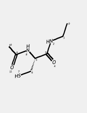 CCNC(=O)[C@H](CS)NC(C)=O